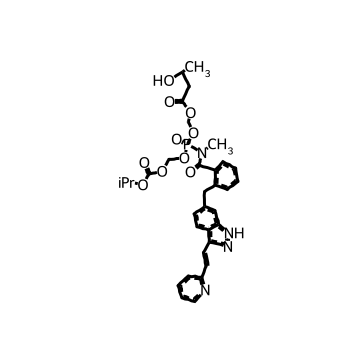 CC(O)CC(=O)OCOP(=O)(OCOC(=O)OC(C)C)N(C)C(=O)c1ccccc1Cc1ccc2c(/C=C/c3ccccn3)n[nH]c2c1